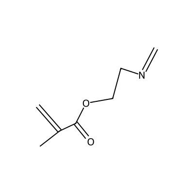 C=NCCOC(=O)C(=C)C